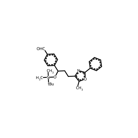 Cc1oc(-c2ccccc2)nc1CCC(O[Si](C)(C)C(C)(C)C)c1ccc(C=O)cc1